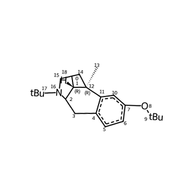 C[C@H]1C2Cc3ccc(OC(C)(C)C)cc3[C@]1(C)CCN2C(C)(C)C